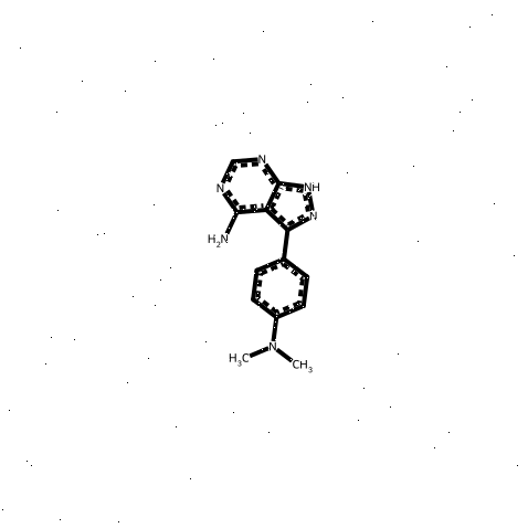 CN(C)c1ccc(-c2n[nH]c3ncnc(N)c23)cc1